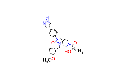 COc1cccc(CN2C(=O)N(c3ccc(-c4cn[nH]c4)cc3)CC23CCN(C(=O)[C@H](C)O)CC3)c1